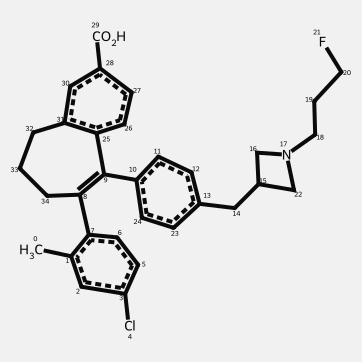 Cc1cc(Cl)ccc1C1=C(c2ccc(CC3CN(CCCF)C3)cc2)c2ccc(C(=O)O)cc2CCC1